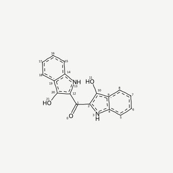 O=C(c1[nH]c2ccccc2c1O)c1[nH]c2ccccc2c1O